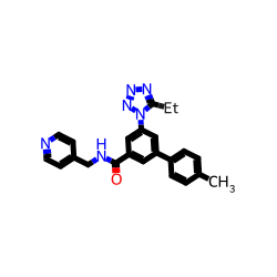 CCc1nnnn1-c1cc(C(=O)NCc2ccncc2)cc(-c2ccc(C)cc2)c1